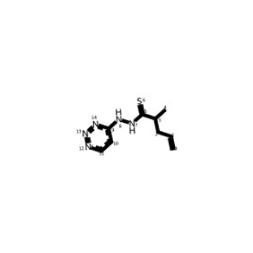 C=CCC(C)C(=S)NNc1ccnnn1